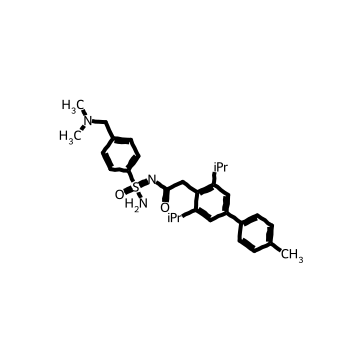 Cc1ccc(-c2cc(C(C)C)c(CC(=O)N=S(N)(=O)c3ccc(CN(C)C)cc3)c(C(C)C)c2)cc1